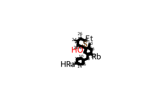 CC[C@H]1SC(O)(c2cc(Cc3cc[c]([RaH])cc3)[c]([Rb])cc2C)[C@H](C)[C@@H](C)[C@@H]1C